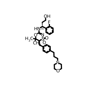 CC1(C)OC(N[C@@H](CCO)c2ccccc2F)=NS(=O)(=O)C1Cc1ccc(CCCN2CCOCC2)cc1